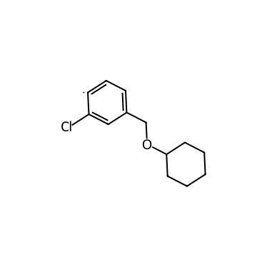 Clc1[c]ccc(COC2CCCCC2)c1